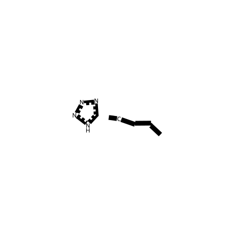 C=C=C=C=C.c1nnn[nH]1